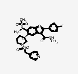 CNC(=O)c1c(-c2ccc(F)cc2)oc2cc(N(C)S(C)(=O)=O)c([C@@H]3CCCN(S(=O)(=O)Cc4ccncc4)C3)cc12